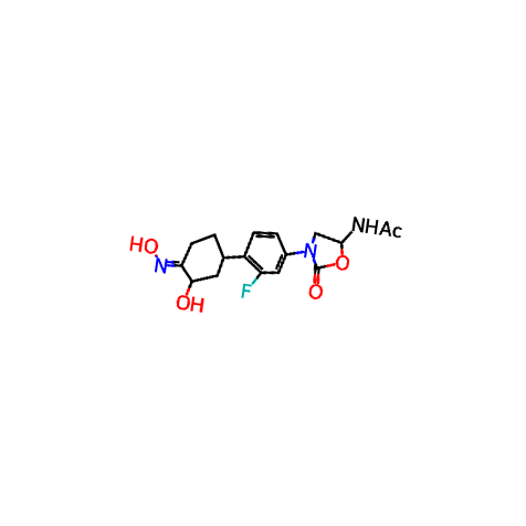 CC(=O)NC1CN(c2ccc(C3CCC(=NO)C(O)C3)c(F)c2)C(=O)O1